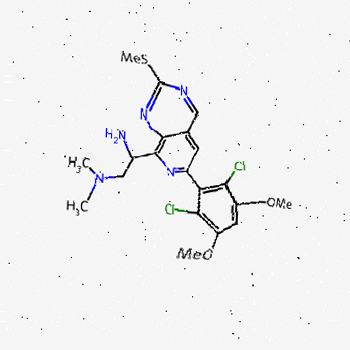 COc1cc(OC)c(Cl)c(-c2cc3cnc(SC)nc3c(C(N)CN(C)C)n2)c1Cl